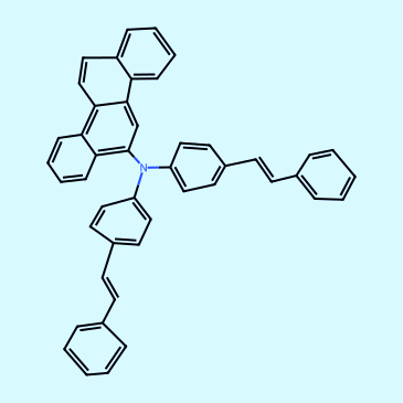 C(=C\c1ccc(N(c2ccc(/C=C/c3ccccc3)cc2)c2cc3c4ccccc4ccc3c3ccccc23)cc1)/c1ccccc1